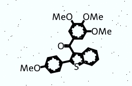 COc1ccc(-c2sc3ccccc3c2C(=O)c2cc(OC)c(OC)c(OC)c2)cc1